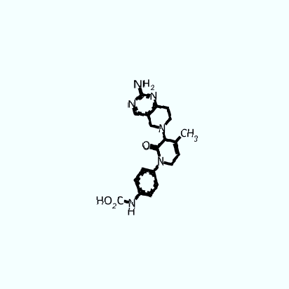 CC1=CCN(c2ccc(NC(=O)O)cc2)C(=O)C1N1CCc2nc(N)ncc2C1